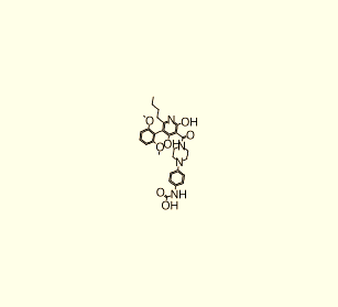 CCCCc1nc(O)c(C(=O)N2CCN(c3ccc(NC(=O)O)cc3)CC2)c(O)c1-c1c(OC)cccc1OC